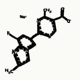 Cc1cn2cc(-c3ncc(C(=O)[O-])c(C)n3)cc(F)c2n1.[Na+]